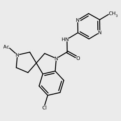 CC(=O)N1CCC2(C1)CN(C(=O)Nc1cnc(C)cn1)c1ccc(Cl)cc12